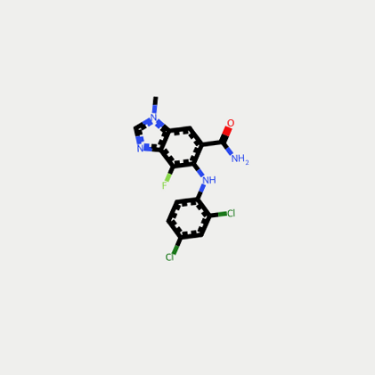 Cn1cnc2c(F)c(Nc3ccc(Cl)cc3Cl)c(C(N)=O)cc21